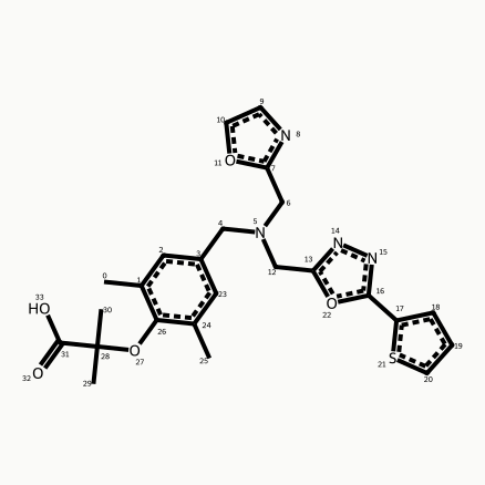 Cc1cc(CN(Cc2ncco2)Cc2nnc(-c3cccs3)o2)cc(C)c1OC(C)(C)C(=O)O